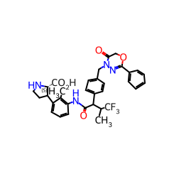 Cc1c(NC(=O)C(c2ccc(CN3N=C(c4ccccc4)OCC3=O)cc2)C(C)C(F)(F)F)cccc1C1CCN[C@@H]1C(=O)O